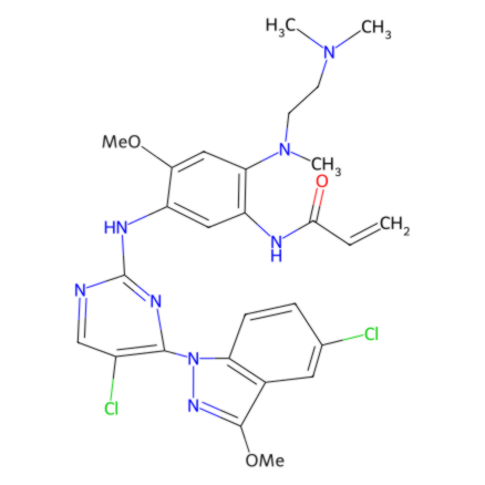 C=CC(=O)Nc1cc(Nc2ncc(Cl)c(-n3nc(OC)c4cc(Cl)ccc43)n2)c(OC)cc1N(C)CCN(C)C